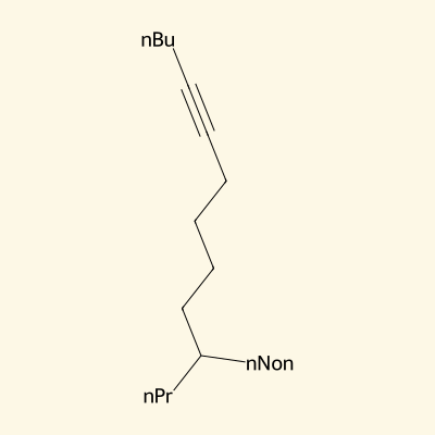 [CH2]CCCC#CCCCCC(CCC)CCCCCCCC[CH2]